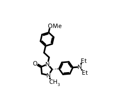 CCN(CC)c1ccc([C@@H]2N(C)CC(=O)N2CCc2ccc(OC)cc2)cc1